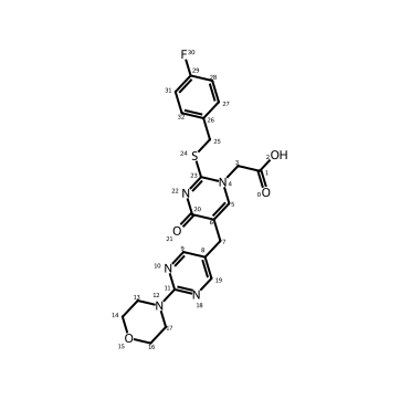 O=C(O)Cn1cc(Cc2cnc(N3CCOCC3)nc2)c(=O)nc1SCc1ccc(F)cc1